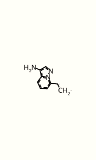 [CH2][CH]c1cccc2c(N)cnn12